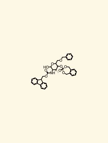 C[C@@H]1C(NC(=O)OCC2c3ccccc3-c3ccccc32)C(O)OC(COCc2ccccc2)[C@H]1OP1(=O)OCc2ccccc2CO1